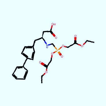 CCOC(=O)COP(=O)(CN[C@H](CC(=O)O)Cc1ccc(-c2ccccc2)cc1)OCC(=O)OCC